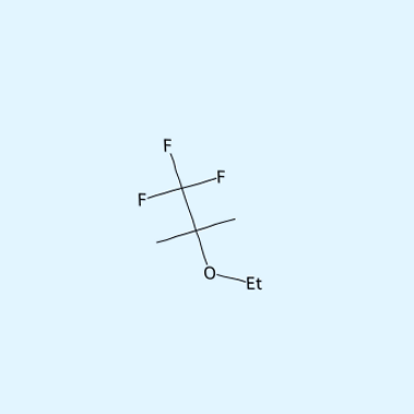 CCOC(C)(C)C(F)(F)F